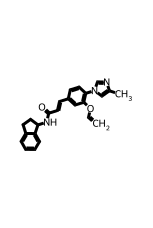 C=COc1cc(C=CC(=O)NC2CCc3ccccc32)ccc1-n1cnc(C)c1